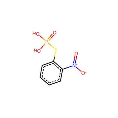 O=[N+]([O-])c1ccccc1SP(=O)(O)O